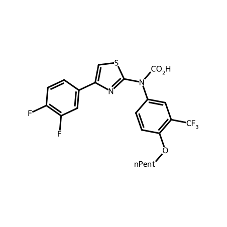 CCCCCOc1ccc(N(C(=O)O)c2nc(-c3ccc(F)c(F)c3)cs2)cc1C(F)(F)F